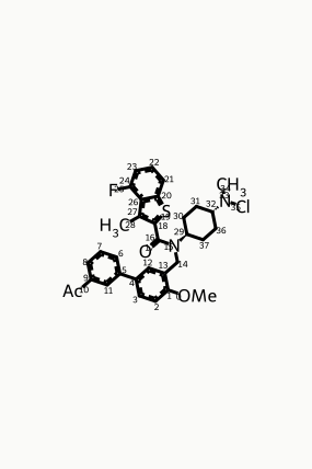 COc1ccc(-c2cccc(C(C)=O)c2)cc1CN(C(=O)c1sc2cccc(F)c2c1C)[C@H]1CC[C@H](N(C)Cl)CC1